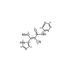 CO/C(=C(/C#N)C(=O)Nc1ccccc1)c1ccc[nH]1